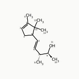 CC1=CCC(/C=C/[C@@H](C)[C@H](C)O)C1(C)C